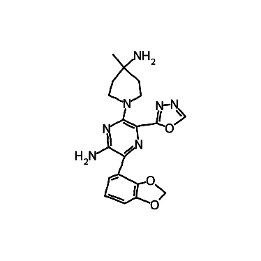 CC1(N)CCN(c2nc(N)c(-c3cccc4c3OCO4)nc2-c2nnco2)CC1